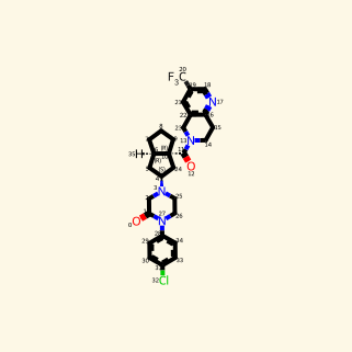 O=C1CN([C@H]2C[C@H]3CCC[C@@]3(C(=O)N3CCc4ncc(C(F)(F)F)cc4C3)C2)CCN1c1ccc(Cl)cc1